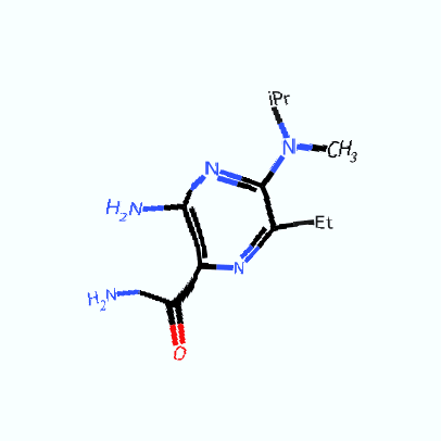 CCc1nc(C(N)=O)c(N)nc1N(C)C(C)C